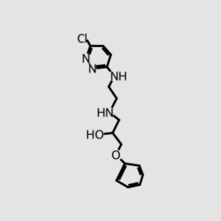 OC(CNCCNc1ccc(Cl)nn1)COc1ccccc1